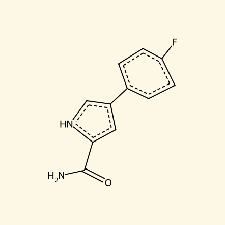 NC(=O)c1cc(-c2ccc(F)cc2)c[nH]1